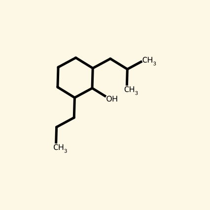 CCCC1CCCC(CC(C)C)C1O